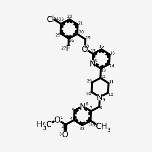 COC(=O)c1cnc(CN2CCC(c3cccc(OCc4ccc(Cl)cc4F)n3)CC2)c(C)c1